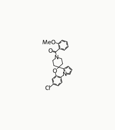 COc1ccccc1C(=O)N1CCC2(CC1)Oc1cc(Cl)ccc1-n1cccc12